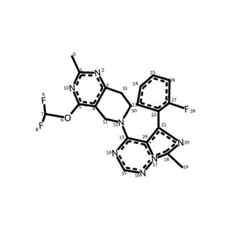 Cc1nc2c(c(OC(F)F)n1)CN(c1ncnn3c(C)nc(-c4ccccc4F)c13)CC2